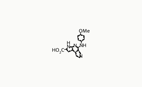 COc1ccc(Nc2nc3[nH]c(C(=O)O)cc3c3ccncc23)cc1